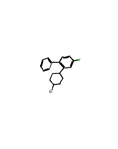 CCC1CCC(c2cc(F)ccc2-c2ccccc2)CC1